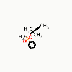 CC#CC(C)(C)COP(C)(=O)c1ccccc1